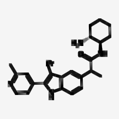 Cc1cc(-c2[nH]c3ccc(C(C)C(=O)N[C@@H]4CCCC[C@H]4N)cc3c2C(C)C)ccn1